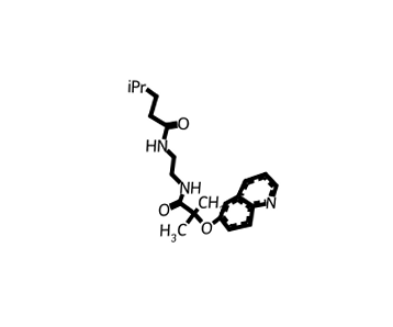 CC(C)CCC(=O)NCCNC(=O)C(C)(C)Oc1ccc2ncccc2c1